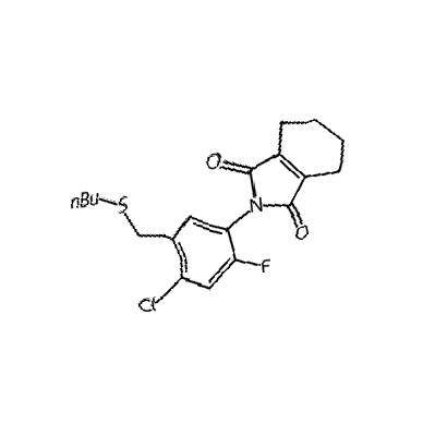 CCCCSCc1cc(N2C(=O)C3=C(CCCC3)C2=O)c(F)cc1Cl